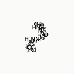 NC(CNCC1CN(c2ccc3c(n2)NC(=O)CO3)C(=O)O1)C1Cc2cccc(Cl)c2C1